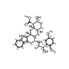 COC(=O)[C@@H]1[C@H]2C[C@H]3c4[nH]c5ccccc5c4CCN3C[C@@H]2CC[C@@H]1O.COc1ccc(OC)c(C(O)C(C)N)c1